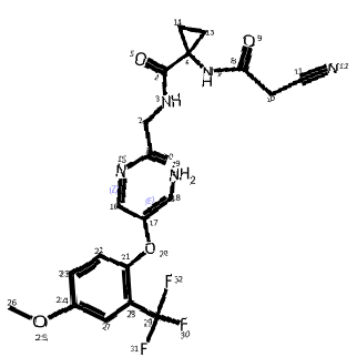 C=C(CNC(=O)C1(NC(=O)CC#N)CC1)/N=C\C(=C/N)Oc1ccc(OC)cc1C(F)(F)F